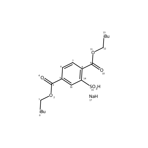 CCC(C)COC(=O)c1ccc(C(=O)OCC(C)CC)c(S(=O)(=O)O)c1.[NaH]